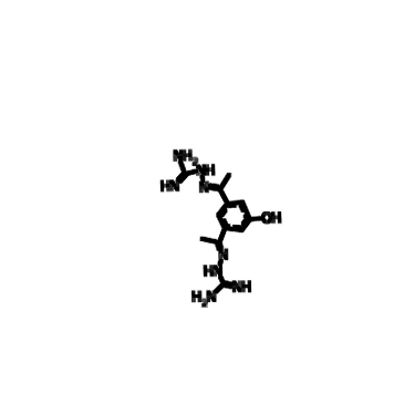 CC(=NNC(=N)N)c1cc(O)cc(C(C)=NNC(=N)N)c1